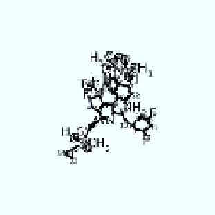 CC(C)(C#Cc1nc([C@@H](N)Cc2cc(F)cc(F)c2)c(-c2ccc(Cl)c3c(N(S(C)(=O)=O)S(C)(=O)=O)nn(CC(F)(F)F)c23)c2c1CCC2)S(=O)(=O)C1CC1